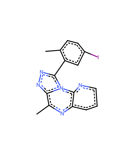 Cc1ccc(I)cc1-c1nnc2c(C)nc3cccnc3n12